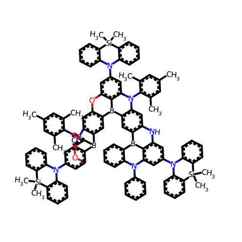 Cc1cc(C)c(N2c3cc4c(cc3B3c5cc6c(cc5Oc5cc(N7c8ccccc8[Si](C)(C)c8ccccc87)cc2c53)N(c2c(C)cc(C)cc2C)c2cc(N3c5ccccc5[Si](C)(C)c5ccccc53)cc3c2B6c2ccccc2O3)B2c3ccccc3N(c3ccccc3)c3cc(N5c6ccccc6[Si](C)(C)c6ccccc65)cc(c32)N4)c(C)c1